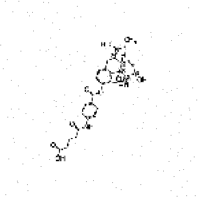 CCN(C)[C@@H]1Cc2ccc(OC(=O)c3ccc(NC(=O)CCCC(=O)O)cc3)c3c2[C@]2(C)[C@H]1C=C[C@H](O)[C@@H]2O3